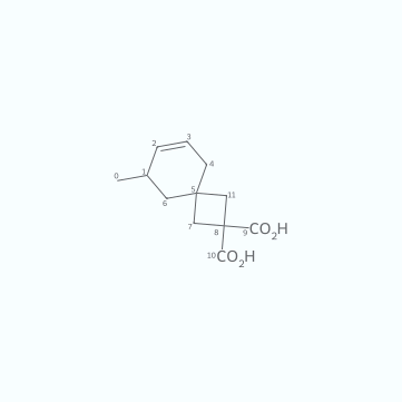 CC1C=CCC2(C1)CC(C(=O)O)(C(=O)O)C2